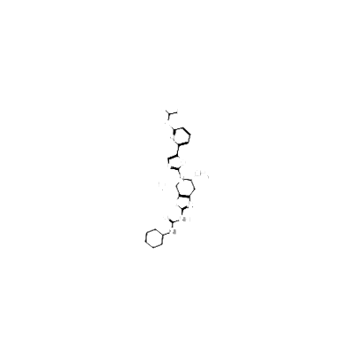 C[C@@H]1Cc2nc(NC(=O)NC3CCCCC3)sc2[C@H](C)N1c1ncc(-c2cccc(OC(F)F)n2)o1